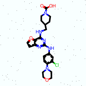 O=C(O)N1CCC(CNc2nc(Nc3ccc(N4CCOCC4)c(Cl)c3)nc3ccoc23)CC1